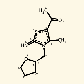 CC(=O)c1sc(=N)n(C[C@H]2CCCO2)c1C